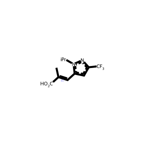 C/C(=C\c1cc(C(F)(F)F)nn1C(C)C)C(=O)O